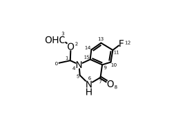 CC(OC=O)N1CNC(=O)c2cc(F)ccc21